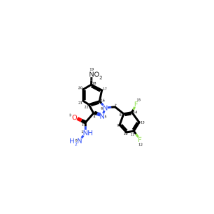 NNC(=O)c1nn(Cc2ccc(F)cc2F)c2cc([N+](=O)[O-])ccc12